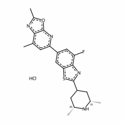 Cc1nc2c(C)cc(-c3cc(F)c4nc(C5C[C@@H](C)N[C@@H](C)C5)sc4c3)nc2o1.Cl